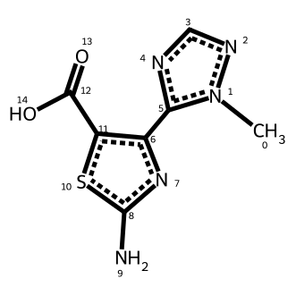 Cn1ncnc1-c1nc(N)sc1C(=O)O